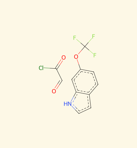 FC(F)(F)Oc1ccc2cc[nH]c2c1.O=CC(=O)Cl